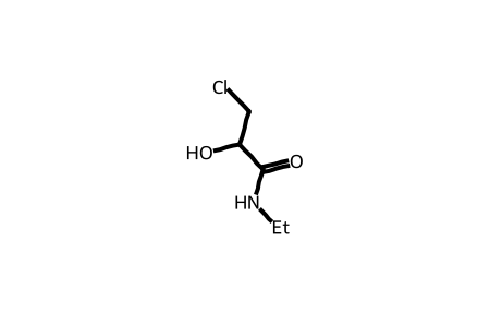 CCNC(=O)C(O)CCl